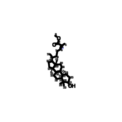 COC(=O)/C(C)=C\CCC(C)[C@@H]1CC[C@]2(C)C3=C(CC[C@@]12C)[C@@]1(C)CCC(O)C(C)(C)C1CC3